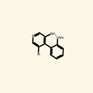 COc1ccccc1-c1c(N)cncc1Br